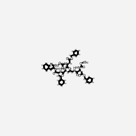 CC(C)(C)OC(=O)N[C@@H](CC(=O)OCc1ccccc1)C(=O)NCCC[C@@H](NC(=O)[C@H](CC(=O)OCc1ccccc1)NC(=O)OC(C)(C)C)C(=O)N[C@H](CCc1ccccc1)C(=O)Nc1cnc2ccccc2c1